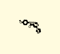 COC1CCC(NC(=O)c2cc(-n3ccnc3)ncn2)CC1